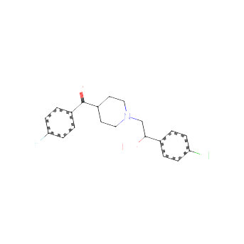 O=C(c1ccc(F)cc1)C1CCN(CC(O)c2ccc(Cl)cc2)CC1